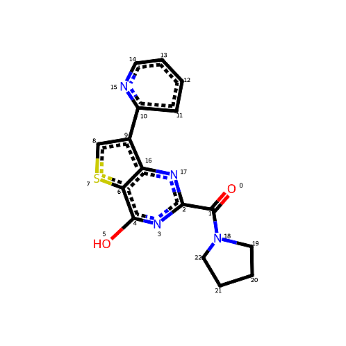 O=C(c1nc(O)c2scc(-c3ccccn3)c2n1)N1CCCC1